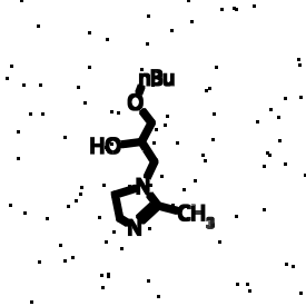 CCCCOCC(O)CN1CCN=C1C